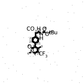 Cc1c(C(F)(F)F)cn(C)c(=O)c1-c1ccc(C[C@H](NC(=O)OC(C)(C)C)C(=O)O)cc1